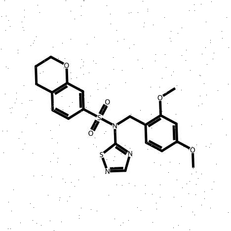 COc1ccc(CN(c2ncns2)S(=O)(=O)c2ccc3c(c2)OCCC3)c(OC)c1